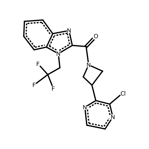 O=C(c1nc2ccccc2n1CC(F)(F)F)N1CC(c2nccnc2Cl)C1